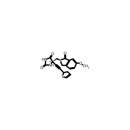 COc1ccc2c(c1)C(=O)N(C[C@@]1(C#CC3CC=CS3)NC(=O)NC1=O)C2